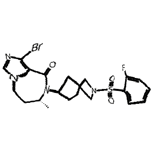 C[C@@H]1CCn2cnc(Br)c2C(=O)N1C1CC2(C1)CN(S(=O)(=O)c1ccccc1F)C2